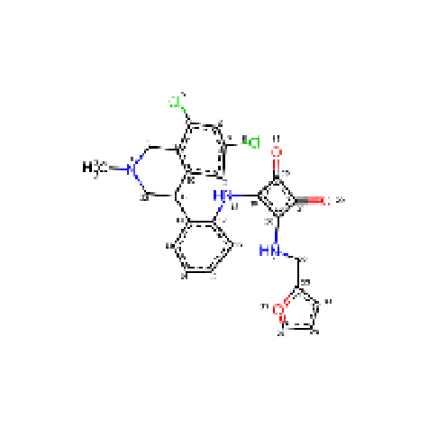 CN1Cc2c(Cl)cc(Cl)cc2C(c2ccccc2Nc2c(NCc3ccco3)c(=O)c2=O)C1